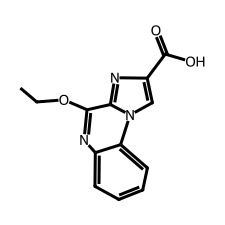 CCOc1nc2ccccc2n2cc(C(=O)O)nc12